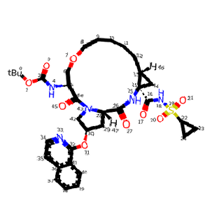 CC(C)(C)OC(=O)N[C@H]1COCCCCC[C@@H]2C[C@@]2(C(=O)NS(=O)(=O)C2CC2)NC(=O)[C@@H]2C[C@@H](Oc3nccc4ccccc34)CN2C1=O